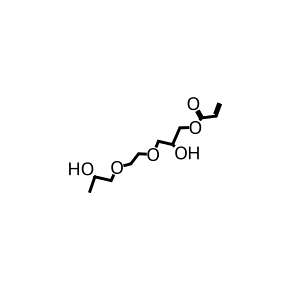 C=CC(=O)OCC(O)COCCOCC(C)O